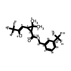 CC1(C)C(C=C(Cl)C(F)(F)F)C1C(=O)OCc1cccc(C(F)(F)F)c1